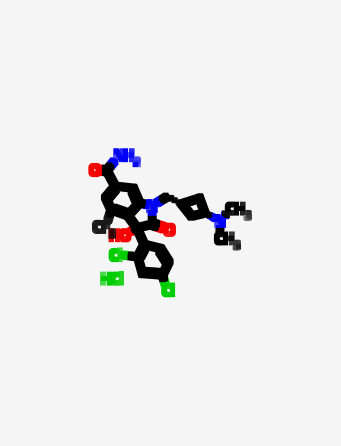 CN(C)[C@H]1C[C@H](CN2C(=O)C(O)(c3ccc(Cl)cc3Cl)c3c2cc(C(N)=O)cc3C(F)(F)F)C1.Cl